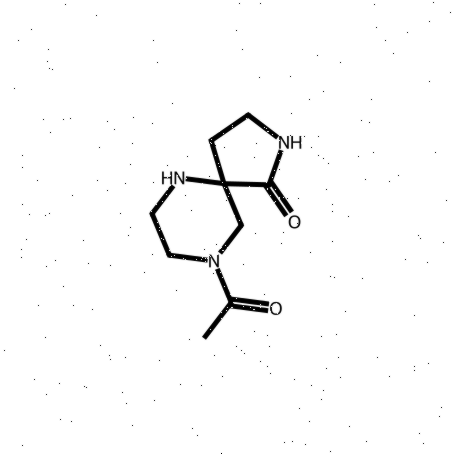 CC(=O)N1CCNC2(CCNC2=O)C1